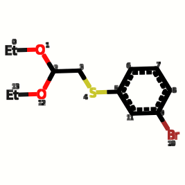 CCOC(CSc1cccc(Br)c1)OCC